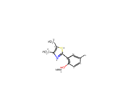 Cc1ccc(O)c(-c2nc(C(=O)O)c(C(=O)O)s2)c1.[NaH]